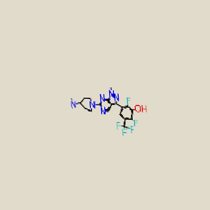 CN(C)C1CCN(c2ncc3c(-c4cc(C(F)(F)F)c(F)c(O)c4F)nn(C)c3n2)CC1